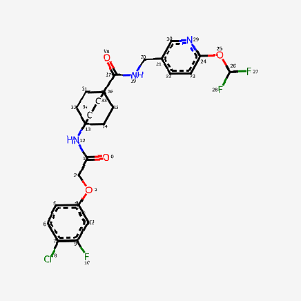 O=C(COc1ccc(Cl)c(F)c1)NC12CCC(C(=O)NCc3ccc(OC(F)F)nc3)(CC1)CC2